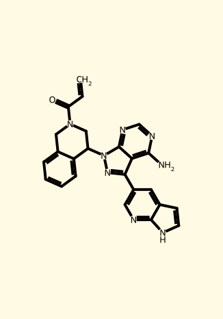 C=CC(=O)N1Cc2ccccc2C(n2nc(-c3cnc4[nH]ccc4c3)c3c(N)ncnc32)C1